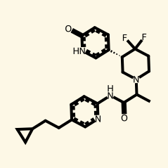 CC(C(=O)Nc1ccc(CCC2CC2)cn1)N1CCC(F)(F)[C@@H](c2ccc(=O)[nH]c2)C1